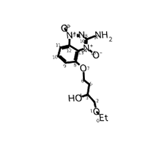 CCOCC(O)CCOc1cccc2c1[n+]([O-])c(N)n[n+]2[O-]